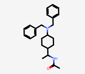 CC(=O)NC(C)C1CCC(N(Cc2ccccc2)Cc2ccccc2)CC1